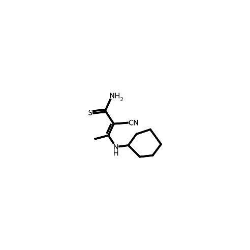 CC(NC1CCCCC1)=C(C#N)C(N)=S